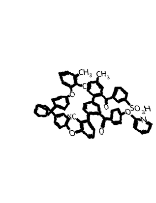 Cc1ccc(-c2ccc(-c3cccc(Oc4ccc(C5(c6ccc(Oc7cccc(C)c7C#N)cc6)CC6CCC5C6)cc4)c3C#N)c(C(=O)c3ccc(Oc4ccccn4)cc3)c2)c(C(=O)c2cccc(S(=O)(=O)O)c2)c1